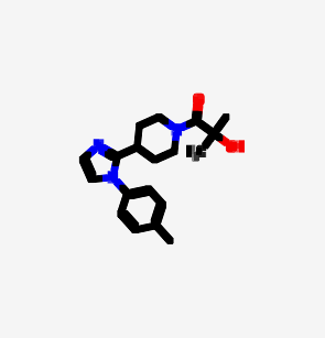 Cc1ccc(-n2ccnc2C2CCN(C(=O)C(C)(O)C(F)(F)F)CC2)cc1